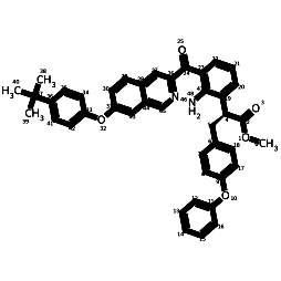 COC(=O)[C@@H](Cc1ccc(Oc2ccccc2)cc1)c1cccc(C(=O)c2cc3ccc(Oc4ccc(C(C)(C)C)cc4)cc3cn2)c1N